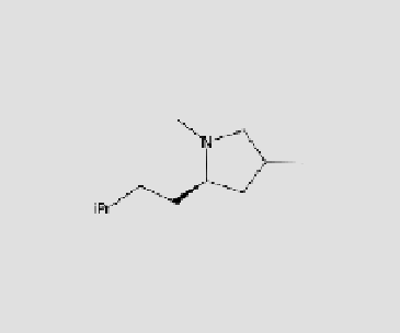 CC(C)CC[C@@H]1CC(C)CN1C